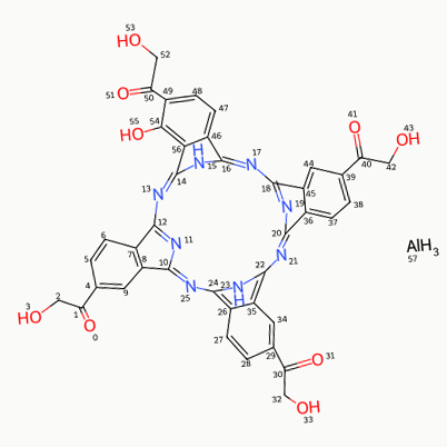 O=C(CO)c1ccc2c(c1)-c1nc-2nc2[nH]c(nc3nc(nc4[nH]c(n1)c1ccc(C(=O)CO)cc41)-c1ccc(C(=O)CO)cc1-3)c1ccc(C(=O)CO)c(O)c21.[AlH3]